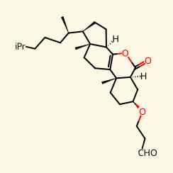 CC(C)CCC[C@@H](C)[C@H]1CC[C@H]2C3=C(CC[C@]12C)[C@@]1(C)CC[C@H](OCCC=O)C[C@@H]1C(=O)O3